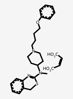 CN(C1=Nc2ccccc2CS1)C1CCN(CCCCOc2ccccc2)CC1.O=C(O)/C=C\C(=O)O